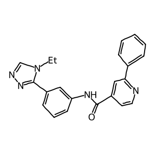 CCn1cnnc1-c1cccc(NC(=O)c2ccnc(-c3ccccc3)c2)c1